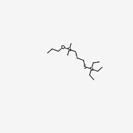 CCCO[Si](C)(C)CCCS[Si](CC)(CC)CC